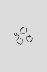 O=C(c1ccccc1)c1ccccc1.c1ccncc1